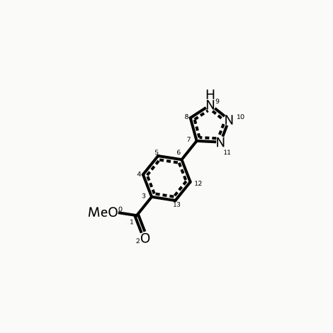 COC(=O)c1ccc(-c2c[nH]nn2)cc1